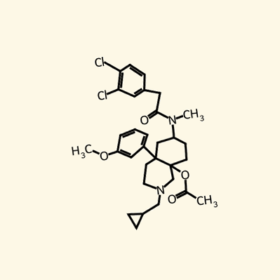 COc1cccc(C23CCN(CC4CC4)CC2(OC(C)=O)CCC(N(C)C(=O)Cc2ccc(Cl)c(Cl)c2)C3)c1